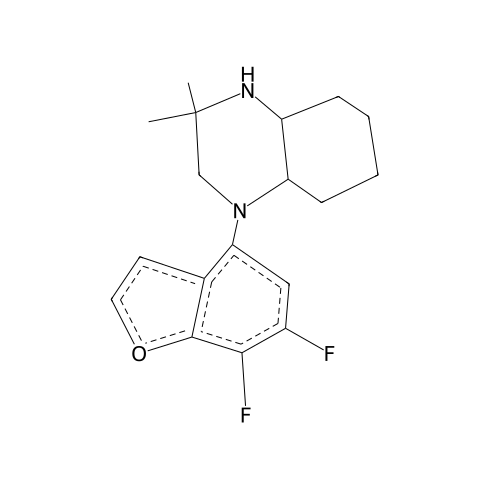 CC1(C)CN(c2cc(F)c(F)c3occc23)C2CCCCC2N1